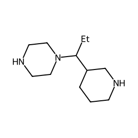 CCC(C1CCCNC1)N1CCNCC1